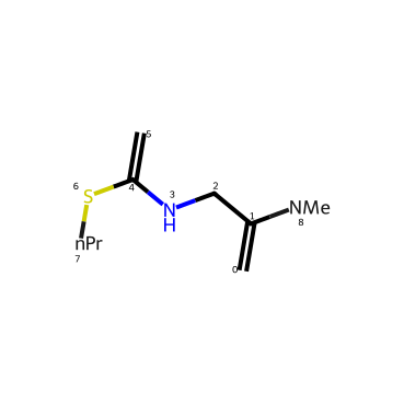 C=C(CNC(=C)SCCC)NC